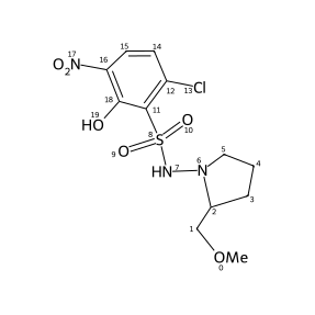 COCC1CCCN1NS(=O)(=O)c1c(Cl)ccc([N+](=O)[O-])c1O